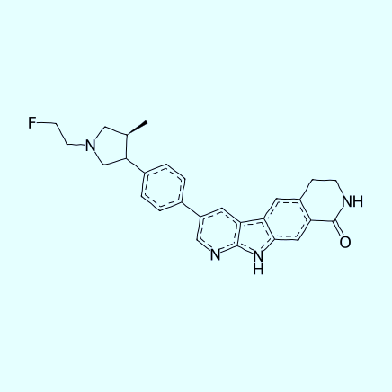 C[C@@H]1CN(CCF)CC1c1ccc(-c2cnc3[nH]c4cc5c(cc4c3c2)CCNC5=O)cc1